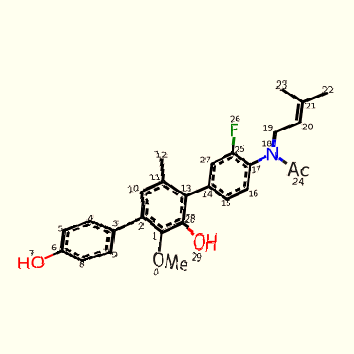 COc1c(-c2ccc(O)cc2)cc(C)c(-c2ccc(N(CC=C(C)C)C(C)=O)c(F)c2)c1O